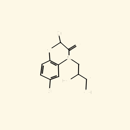 CCC1Oc2ccc(Br)cc2N(CC(O)CO)C1=O